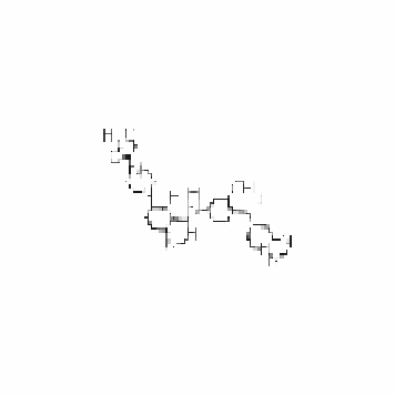 C=CC(=O)N1CCN(c2ccc3ncnc(Nc4ccc(Cc5ccn6ncnc6c5)c(C)c4)c3c2F)CC1